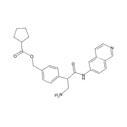 NCC(C(=O)Nc1ccc2cnccc2c1)c1ccc(COC(=O)C2CCCC2)cc1